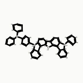 c1ccc(N(c2ccccc2)c2ccc(-n3c4ccccc4c4c5oc6c(ccc7c6c6ccccc6n7-c6ccccc6)c5ccc43)cc2)cc1